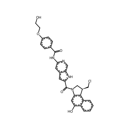 O=C(Nc1cc2cc(C(=O)N3C[C@@H](CCl)c4c3cc(O)c3ccccc43)[nH]c2cn1)c1ccc(OCCO)cc1